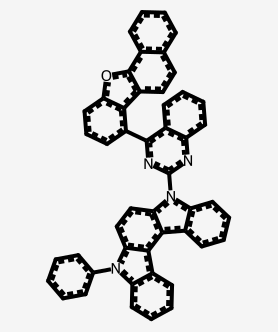 c1ccc(-n2c3ccccc3c3c4c5ccccc5n(-c5nc(-c6cccc7oc8c9ccccc9ccc8c67)c6ccccc6n5)c4ccc32)cc1